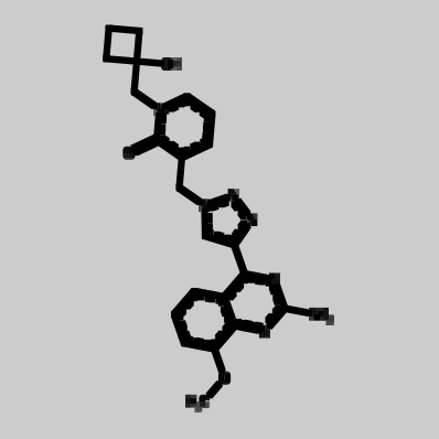 COc1cccc2c(-c3cn(Cc4cccn(CC5(O)CCC5)c4=O)nn3)nc(N)nc12